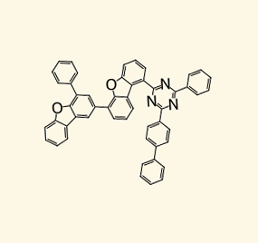 c1ccc(-c2ccc(-c3nc(-c4ccccc4)nc(-c4cccc5oc6c(-c7cc(-c8ccccc8)c8oc9ccccc9c8c7)cccc6c45)n3)cc2)cc1